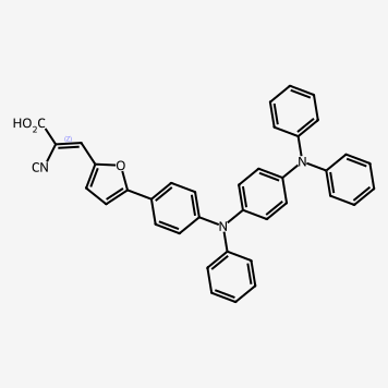 [C-]#[N+]/C(=C\c1ccc(-c2ccc(N(c3ccccc3)c3ccc(N(c4ccccc4)c4ccccc4)cc3)cc2)o1)C(=O)O